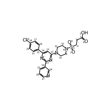 O=C(O)CCS(=O)(=O)N1CCN(c2cc(-c3ccc(Cl)cc3)nc(-c3cccnc3)n2)CC1